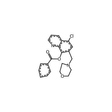 O=C(Oc1c(CN2CCOCC2)cc(Cl)c2cccnc12)c1ccccc1